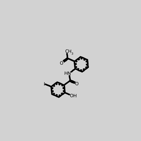 CC(=O)c1ccccc1NC(=O)c1cc(I)ccc1O